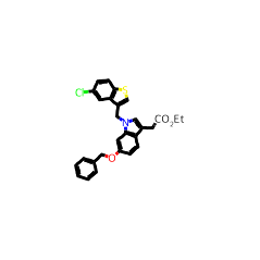 CCOC(=O)Cc1cn(Cc2csc3ccc(Cl)cc23)c2cc(OCc3ccccc3)ccc12